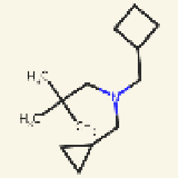 CC(C)(C)CN(CC1CCC1)CC1CC1